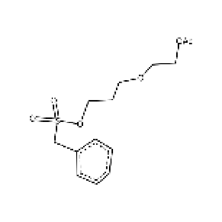 CC(=O)OCCOCCCOS(=O)(=O)Cc1ccccc1